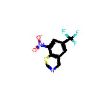 O=[N+]([O-])c1cc(C(F)(F)F)cc2c1SC=NC2